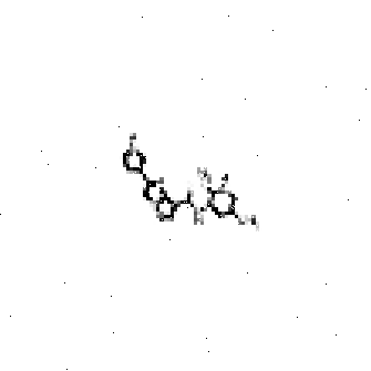 CC1NC=C(N)C=C1NC(=O)c1cnn2cc(-c3cc[nH]c3)sc12